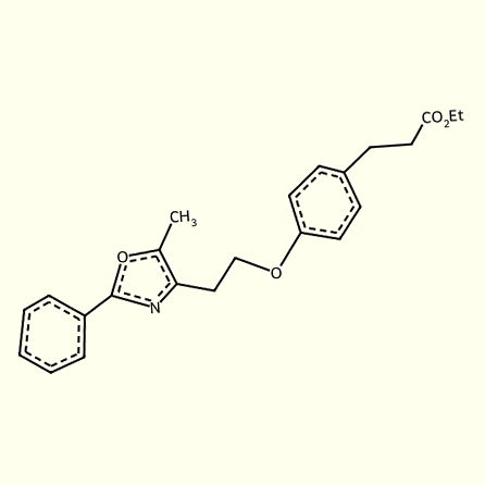 CCOC(=O)CCc1ccc(OCCc2nc(-c3ccccc3)oc2C)cc1